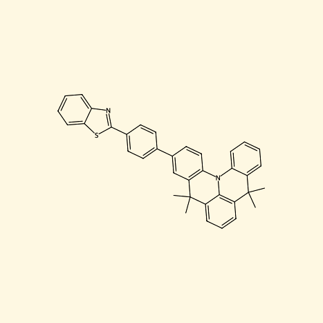 CC1(C)c2ccccc2N2c3ccc(-c4ccc(-c5nc6ccccc6s5)cc4)cc3C(C)(C)c3cccc1c32